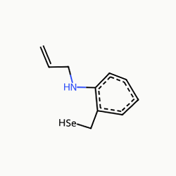 C=CCNc1ccccc1C[SeH]